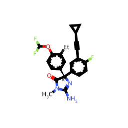 CCc1cc([C@@]2(c3ccc(F)c(C#CC4CC4)c3)N=C(N)N(C)C2=O)ccc1OC(F)F